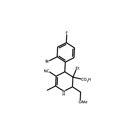 CCC1(C(=O)O)C(COC)NC(C)=C(C#N)C1c1ccc(F)cc1Br